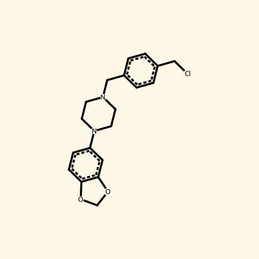 ClCc1ccc(CN2CCN(c3ccc4c(c3)OCO4)CC2)cc1